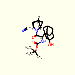 CC(C)(C)OC(=O)N[C@H](C(=O)N1[C@H](C#N)C[C@@H]2C[C@@H]21)C12CC3CC(CC(O)(C3)C1)C2